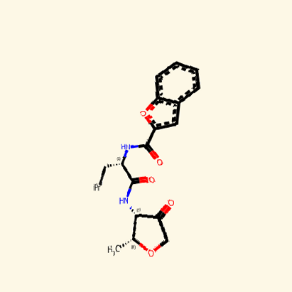 CC(C)C[C@H](NC(=O)c1cc2ccccc2o1)C(=O)N[C@@H]1C(=O)CO[C@@H]1C